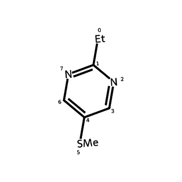 CCc1ncc(SC)cn1